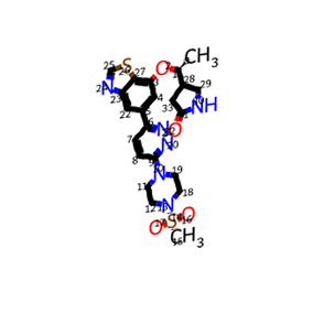 C[C@@H](Oc1cc(-c2ccc(N3CCN(S(C)(=O)=O)CC3)nn2)cc2ncsc12)C1CNC(=O)C1